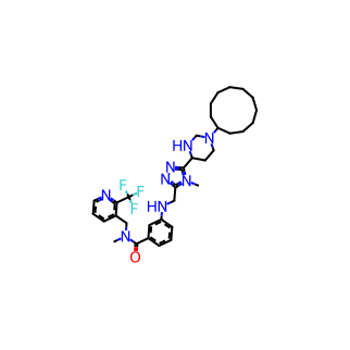 CN(Cc1cccnc1C(F)(F)F)C(=O)c1cccc(NCc2nnc(C3CCN(C4CCCCCCCCCC4)CN3)n2C)c1